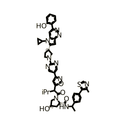 Cc1ncsc1-c1ccc(C(C)NC(=O)[C@@H]2C[C@@H](O)CN2C(=O)C(c2cc(-c3cnc(N4CC[C@H](c5cc6nnc(-c7ccccc7O)cc6n5C5CC5)C4)nc3)no2)C(C)C)cc1